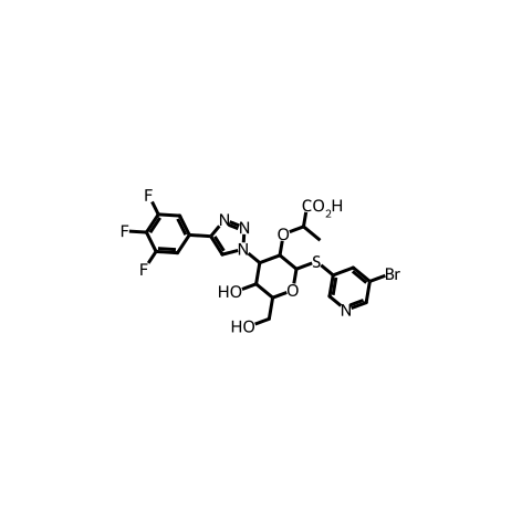 CC(OC1C(Sc2cncc(Br)c2)OC(CO)C(O)C1n1cc(-c2cc(F)c(F)c(F)c2)nn1)C(=O)O